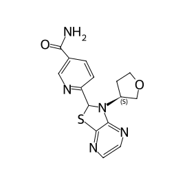 NC(=O)c1ccc(C2Sc3nccnc3N2[C@H]2CCOC2)nc1